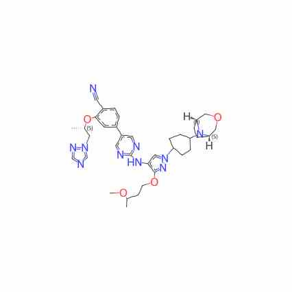 COC(C)CCOc1nn(C2CCC(N3[C@@H]4CC[C@H]3COC4)CC2)cc1Nc1ncc(-c2ccc(C#N)c(O[C@@H](C)Cn3cncn3)c2)cn1